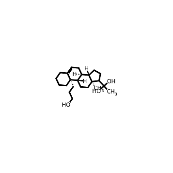 CC(O)(O)C1CC[C@H]2[C@@H]3CC=C4CCCC[C@]4(CCCO)[C@H]3CC[C@]12C